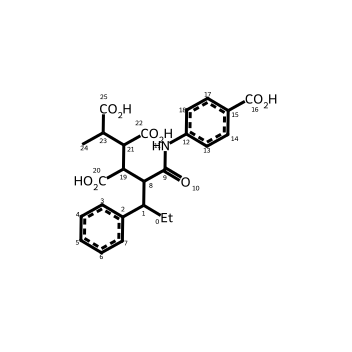 CCC(c1ccccc1)C(C(=O)Nc1ccc(C(=O)O)cc1)C(C(=O)O)C(C(=O)O)C(C)C(=O)O